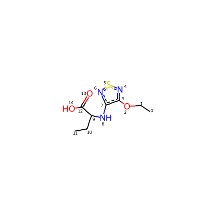 CCOc1nsnc1NC(CC)C(=O)O